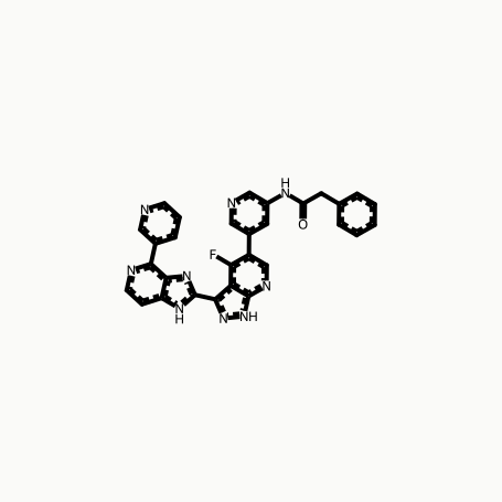 O=C(Cc1ccccc1)Nc1cncc(-c2cnc3[nH]nc(-c4nc5c(-c6cccnc6)nccc5[nH]4)c3c2F)c1